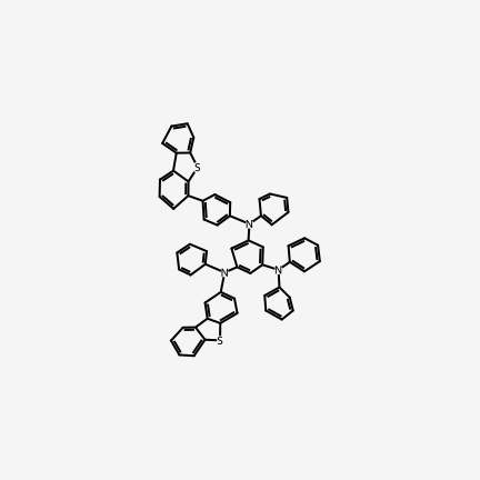 c1ccc(N(c2ccccc2)c2cc(N(c3ccccc3)c3ccc(-c4cccc5c4sc4ccccc45)cc3)cc(N(c3ccccc3)c3ccc4sc5ccccc5c4c3)c2)cc1